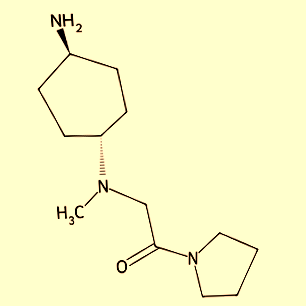 CN(CC(=O)N1CCCC1)[C@H]1CC[C@H](N)CC1